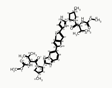 COC(=O)N[C@H](C(=O)N1C[C@@H](C)C[C@H]1c1nc2ccc(-c3cc4sc(-c5c[nH]c([C@@H]6C[C@H](C)CN6C(=O)[C@@H](NC(=O)OC)C(C)C)n5)cc4s3)cn2n1)C(C)C